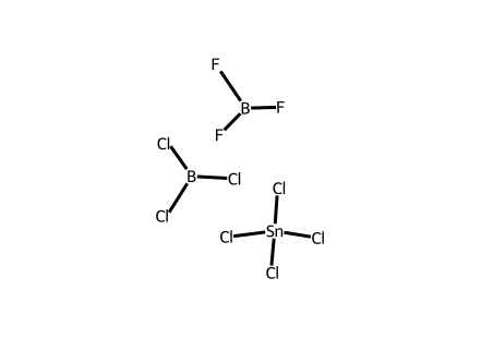 ClB(Cl)Cl.FB(F)F.[Cl][Sn]([Cl])([Cl])[Cl]